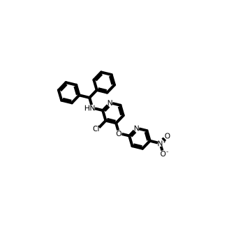 O=[N+]([O-])c1ccc(Oc2ccnc(NC(c3ccccc3)c3ccccc3)c2Cl)nc1